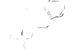 CCCCCC[N+](CC)(CC)CCCc1ccccc1.[Br-]